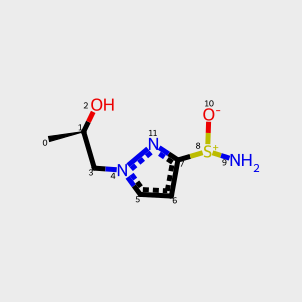 C[C@@H](O)Cn1ccc([S+](N)[O-])n1